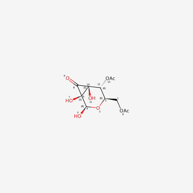 CC(=O)OC[C@H]1O[C@@H](O)[C@]2(O)C(=O)[C@]2(O)[C@@H]1OC(C)=O